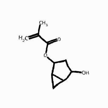 C=C(C)C(=O)OC1CC(O)C2CC12